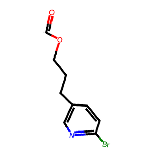 O=[C]OCCCc1ccc(Br)nc1